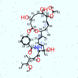 CC[C@H](OC)[C@@H](C)[C@H]1O[C@@H]1C(NC(=O)c1ccccc1)C(C)(O)/C=C/C=C(\C)C1OC(=O)C[C@H](O)CC[C@@](C)(O)[C@@H](OC(C)=O)/C=C/[C@@H]1C